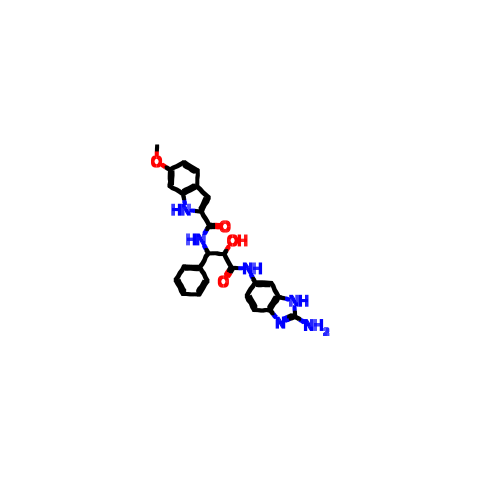 COc1ccc2cc(C(=O)NC(c3ccccc3)C(O)C(=O)Nc3ccc4nc(N)[nH]c4c3)[nH]c2c1